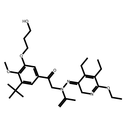 C=C(C)N(CC(=O)c1cc(OCCCO)c(OC)c(C(C)(C)C)c1)/N=C1\CN=C(OCC)C(CC)=C1CC